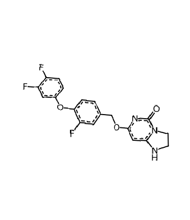 O=c1nc(OCc2ccc(Oc3ccc(F)c(F)c3)c(F)c2)cc2n1CCN2